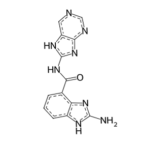 Nc1nc2c(C(=O)Nc3nc4ncncc4[nH]3)cccc2[nH]1